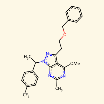 COc1nc(C)nc2c1c(CCOCc1ccccc1)nn2C(C)c1ccc(C(F)(F)F)cc1